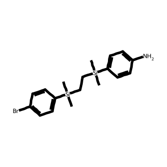 C[Si](C)(CC[Si](C)(C)c1ccc(Br)cc1)c1ccc(N)cc1